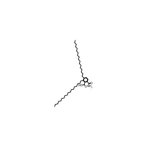 CCCCCCCCCCCCCCCCCCc1ccc(C(N)=O)c(C(=O)O)c1CCCCCCCCCCCCCCCCCC